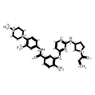 C=CC(=O)N1CCC(Nc2nccc(Oc3cc(C(=O)Nc4ccc(N5CCN(C)CC5)c(C(F)(F)F)c4)ccc3C)n2)C1